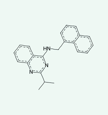 CC(C)c1nc(NCc2cccc3ccccc23)c2ccccc2n1